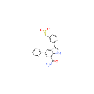 NC(=O)c1cc(-c2ccccc2)cc2c(-c3cccc(C[SH](=O)=O)c3)c[nH]c12